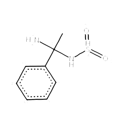 CC(N)(N[SH](=O)=O)c1cc[c]cc1